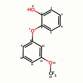 Oc1ccccc1Oc1cccc(OC(F)(F)F)c1